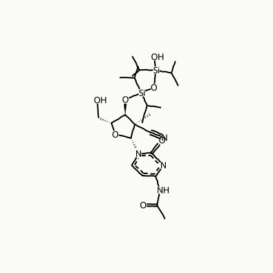 CC(=O)Nc1ccn([C@@H]2O[C@H](CO)[C@@H](O[Si](O[Si](O)(C(C)C)C(C)C)(C(C)C)C(C)C)[C@@]2(C)C#N)c(=O)n1